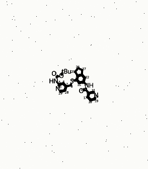 CC(C)(C)OC(=O)Nc1cc(CSc2cc(NC(=O)c3cccnc3)cc3c2CCC3)ccn1